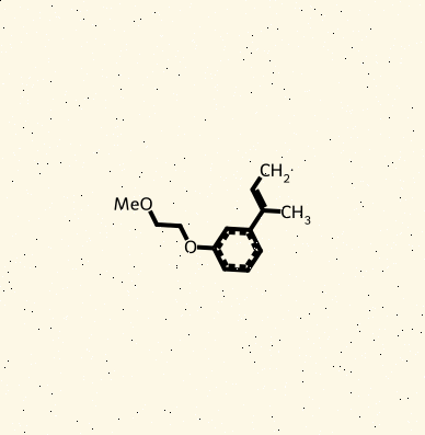 [CH2]C=C(C)c1cccc(OCCOC)c1